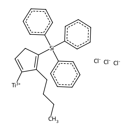 CCCCC1=C([Si](c2ccccc2)(c2ccccc2)c2ccccc2)CC=[C]1[Ti+3].[Cl-].[Cl-].[Cl-]